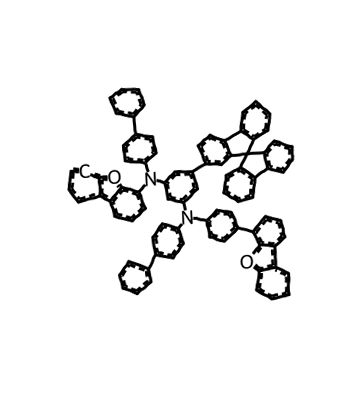 c1ccc(-c2ccc(N(c3ccc(-c4cccc5c4oc4ccccc45)cc3)c3cc(-c4ccc5c(c4)C4(c6ccccc6-c6ccccc64)c4ccccc4-5)cc(N(c4ccc(-c5ccccc5)cc4)c4cccc5c4oc4ccccc45)c3)cc2)cc1